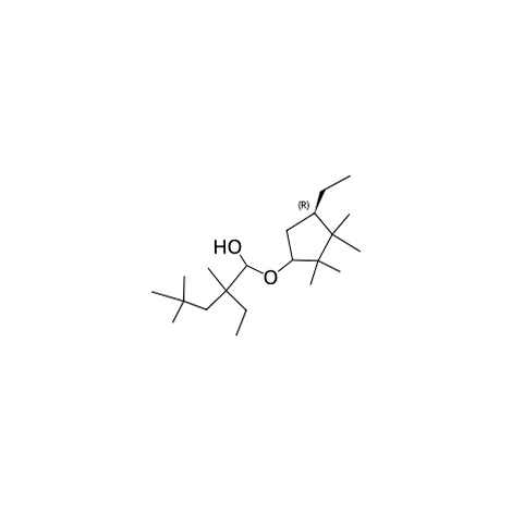 CC[C@@H]1CC(OC(O)C(C)(CC)CC(C)(C)C)C(C)(C)C1(C)C